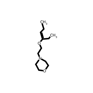 CC/C=C(\CC)OCCN1CCOCC1